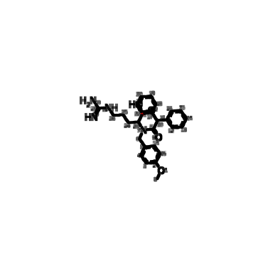 COc1ccc(CN(C(=O)C(c2ccccc2)c2ccccc2)C(CCCNC(=N)N)C(=O)O)cc1